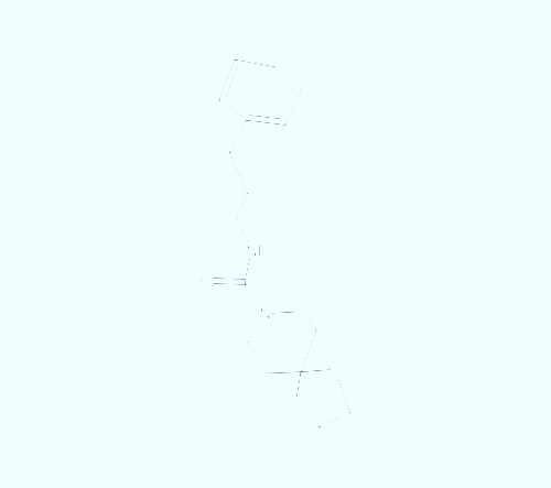 O=C(NCCCc1ccccc1)N1CCC2(CC1)OCCO2